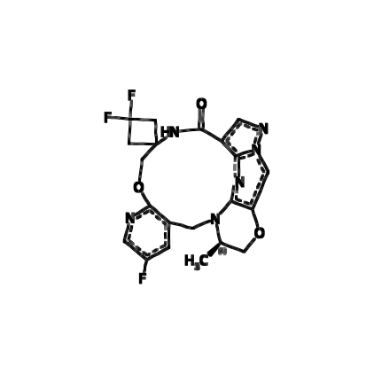 C[C@@H]1COc2cn3ncc4c3nc2N1Cc1cc(F)cnc1OCC1(CC(F)(F)C1)NC4=O